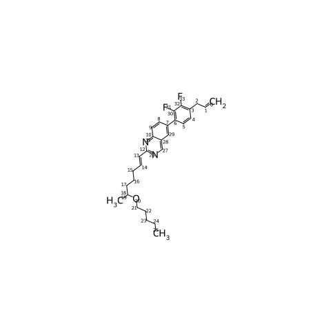 C=CCc1ccc(-c2ccc3nc(/C=C/CCCC(C)OCCCCC)ncc3c2)c(F)c1F